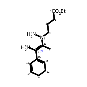 CCOC(=O)CCCN(N)/C(C)=C(\N)C1=CCCC=C1